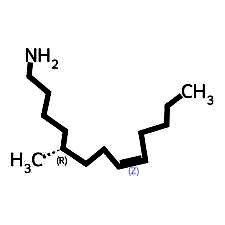 CCCC/C=C\CC[C@H](C)CCCCN